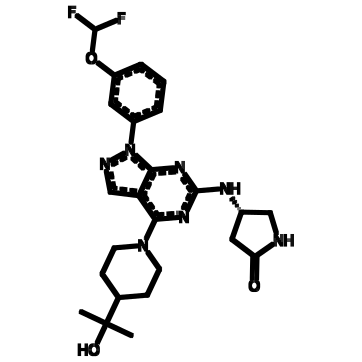 CC(C)(O)C1CCN(c2nc(N[C@@H]3CNC(=O)C3)nc3c2cnn3-c2cccc(OC(F)F)c2)CC1